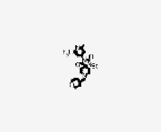 CCN1C(=O)N(c2cc(C)nc(C(F)(F)F)c2)C(=O)C12CCN(CC1CCOCC1)CC2